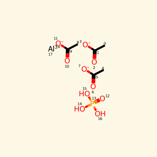 CC(=O)[O-].CC(=O)[O-].CC(=O)[O-].O=P(O)(O)O.[Al+3]